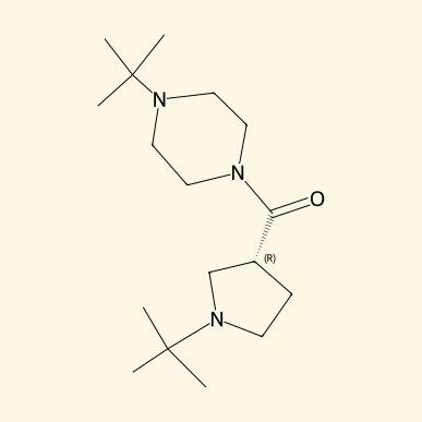 CC(C)(C)N1CCN(C(=O)[C@@H]2CCN(C(C)(C)C)C2)CC1